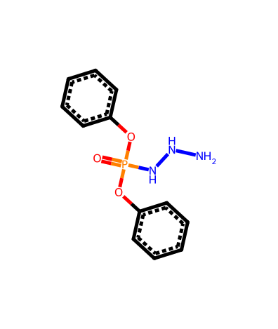 NNNP(=O)(Oc1ccccc1)Oc1ccccc1